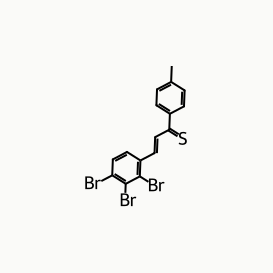 Cc1ccc(C(=S)C=Cc2ccc(Br)c(Br)c2Br)cc1